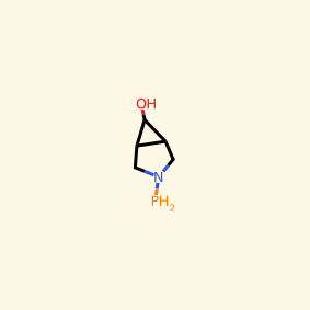 OC1C2CN(P)CC12